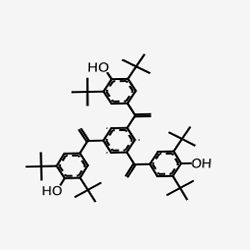 C=C(c1[c]c(C(=C)c2cc(C(C)(C)C)c(O)c(C(C)(C)C)c2)[c]c(C(=C)c2cc(C(C)(C)C)c(O)c(C(C)(C)C)c2)[c]1)c1cc(C(C)(C)C)c(O)c(C(C)(C)C)c1